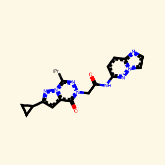 CC(C)c1nn(CC(=O)Nc2ccc3nccn3n2)c(=O)c2cc(C3CC3)nn12